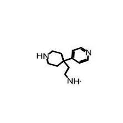 [NH]CCC1(c2ccncc2)CCNCC1